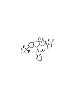 CC1(C)Oc2ccc(C(F)(F)C(F)(F)F)cc2C(N2Cc3ccccc3C2=O)=C1CNC(=O)C(F)(F)F